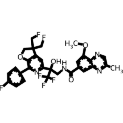 COc1cc(C(=O)NCC(O)(c2cc3c(c(-c4ccc(F)cc4)n2)OCC3(CF)CF)C(F)(F)F)cc2nc(C)cnc12